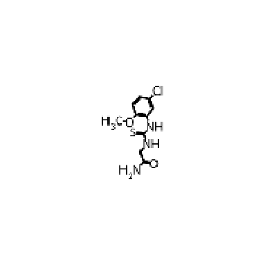 COc1ccc(Cl)cc1NC(=S)NCC(N)=O